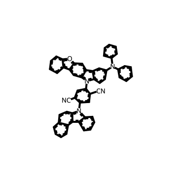 N#Cc1cc(-n2c3ccccc3c3c4ccccc4ccc32)c(C#N)cc1-n1c2ccc(N(c3ccccc3)c3ccccc3)cc2c2cc3oc4ccccc4c3cc21